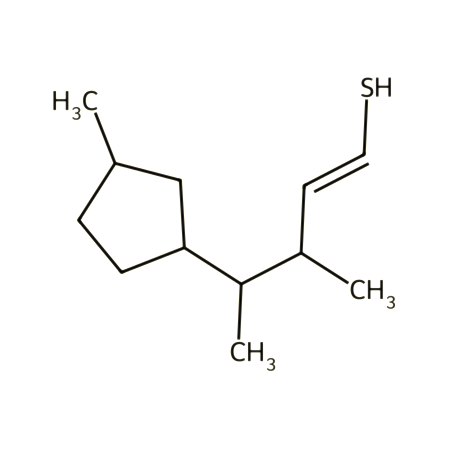 CC1CCC(C(C)C(C)/C=C/S)C1